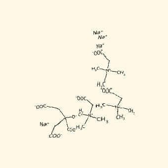 C[N+](C)(C)CC(=O)[O-].C[N+](C)(C)CC(=O)[O-].C[N+](C)(C)CC(=O)[O-].O=C([O-])CC([O-])(CC(=O)[O-])C(=O)[O-].[Na+].[Na+].[Na+].[Na+]